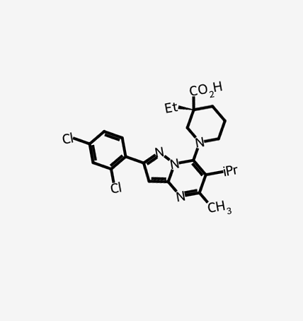 CC[C@@]1(C(=O)O)CCCN(c2c(C(C)C)c(C)nc3cc(-c4ccc(Cl)cc4Cl)nn23)C1